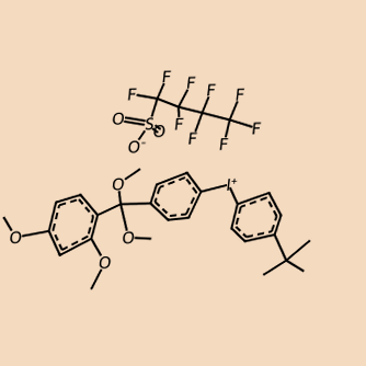 COc1ccc(C(OC)(OC)c2ccc([I+]c3ccc(C(C)(C)C)cc3)cc2)c(OC)c1.O=S(=O)([O-])C(F)(F)C(F)(F)C(F)(F)C(F)(F)F